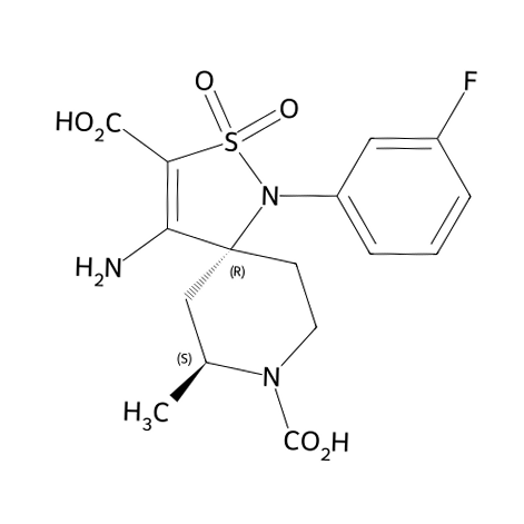 C[C@H]1C[C@]2(CCN1C(=O)O)C(N)=C(C(=O)O)S(=O)(=O)N2c1cccc(F)c1